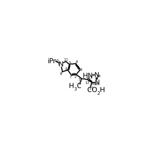 CC(c1ccc2c(c1)CN(C(C)C)C2)c1[nH]nnc1C(=O)O